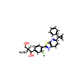 CC(=O)NC(C)(CO)C(O)c1ccc(-c2nc3ccc(C4(c5ccccc5)C=C4)nc3s2)c(F)c1